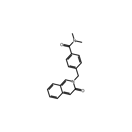 CN(C)C(=O)c1ccc(Cn2cc3ccccc3cc2=O)cc1